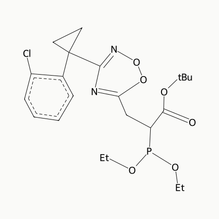 CCOP(OCC)C(CC1=NC(C2(c3ccccc3Cl)CC2)=NOO1)C(=O)OC(C)(C)C